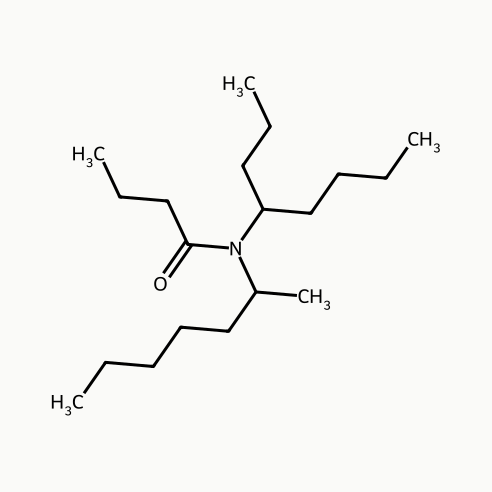 CCCCCC(C)N(C(=O)CCC)C(CCC)CCCC